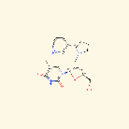 CN1CCC[C@H]1c1cccnc1.Cc1cn([C@H]2C=C[C@@H](CO)O2)c(=O)[nH]c1=O